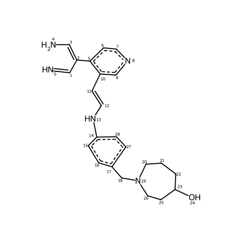 N=C/C(=C\N)c1ccncc1/C=C/Nc1ccc(CN2CCCC(O)CC2)cc1